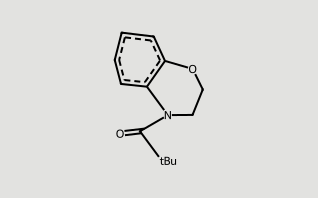 CC(C)(C)C(=O)N1CCOc2ccccc21